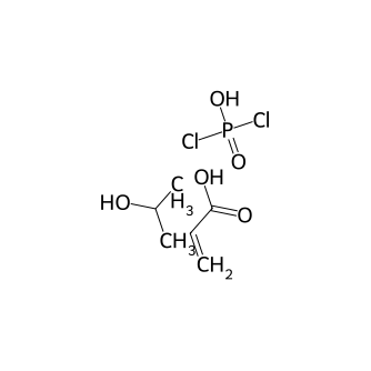 C=CC(=O)O.CC(C)O.O=P(O)(Cl)Cl